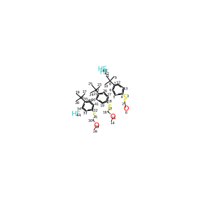 COCSc1ccc(C(C)(C)C)cc1.COCSc1ccc(C(C)(C)C)cc1.COCSc1ccc(C(C)(C)C)cc1.F.F.F